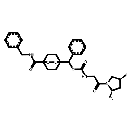 N#C[C@@H]1C[C@H](F)CN1C(=O)CNC(=O)OC(c1ccccc1)C12CCC(C(=O)NCc3ccccc3)(CC1)CC2